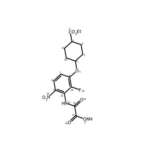 CCOC(=O)C1CCC(Oc2ccc([N+](=O)[O-])c(NC(=O)C(=O)OC)c2F)CC1